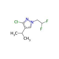 CC(C)c1cn(CC(F)F)nc1Cl